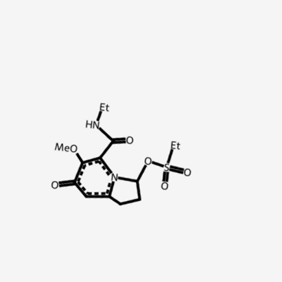 CCNC(=O)c1c(OC)c(=O)cc2n1C(OS(=O)(=O)CC)CC2